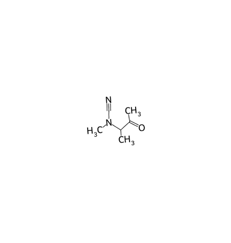 CC(=O)C(C)N(C)C#N